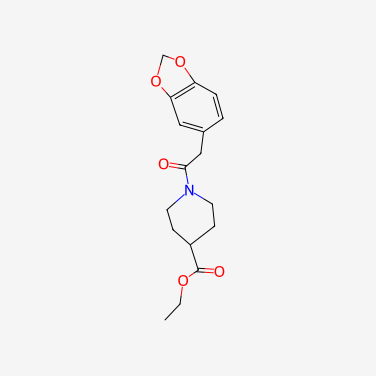 CCOC(=O)C1CCN(C(=O)Cc2ccc3c(c2)OCO3)CC1